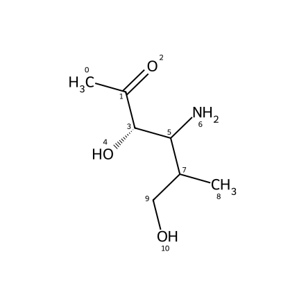 CC(=O)[C@@H](O)C(N)C(C)CO